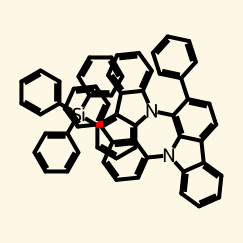 c1ccc(-c2cccc(-n3c4ccccc4c4ccc(-c5ccccc5)c(-n5c6ccccc6c6c([Si](c7ccccc7)(c7ccccc7)c7ccccc7)cccc65)c43)c2)cc1